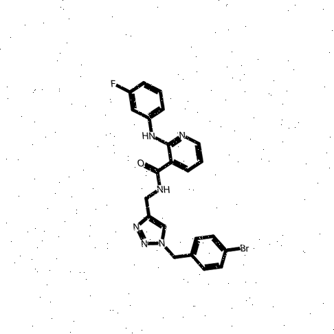 O=C(NCc1cn(Cc2ccc(Br)cc2)nn1)c1cccnc1Nc1cccc(F)c1